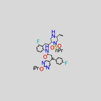 C=CC1CN(S(=O)(=O)CCC)C(CCc2c(F)cccc2NC(=O)C[C@@H](c2ccc(F)cc2)c2cnc(OC(C)C)nc2)CN1